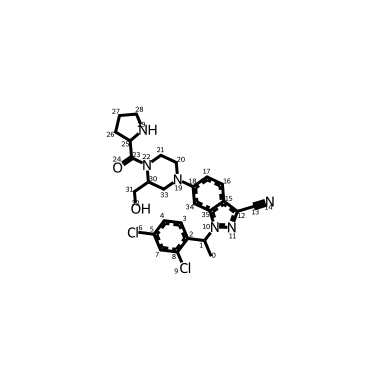 CC(c1ccc(Cl)cc1Cl)n1nc(C#N)c2ccc(N3CCN(C(=O)C4CCCN4)C(CO)C3)cc21